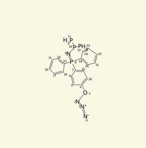 [N-]=[N+]=NOc1ccc(P(=NP(P)P)(c2ccccc2)c2ccccc2)cc1